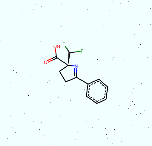 O=C(O)[C@@]1(C(F)F)CCC(c2ccccc2)=N1